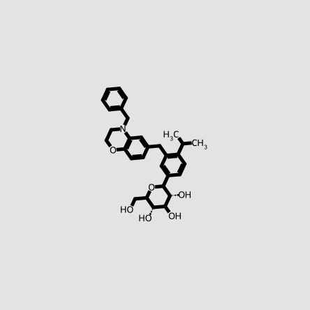 CC(C)c1ccc(C2OC(CO)[C@@H](O)C(O)[C@H]2O)cc1Cc1ccc2c(c1)N(Cc1ccccc1)CCO2